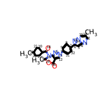 Cc1cnc2cc(-c3ccc(-n4cc5c(n4)N(C(=O)C4CCC(C)CC4)C(C)OC5=O)cc3)nn2c1